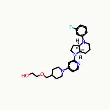 OCCOCC1CCN(c2ccnc(N3CC[C@@H]4[C@H]3CCCN4c3cccc(F)c3)c2)CC1